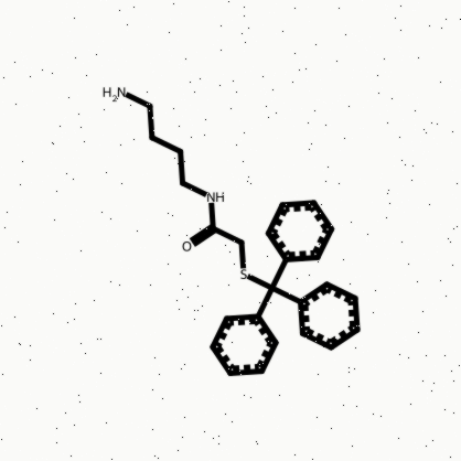 NCCCCNC(=O)CSC(c1ccccc1)(c1ccccc1)c1ccccc1